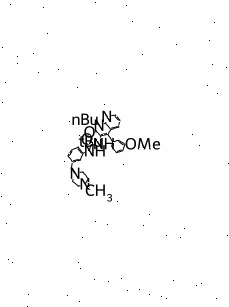 CCCCn1c(=O)c(NC(=O)Nc2cc(CN3CCN(C)CC3)ccc2C(C)(C)C)c(-c2cccc(OC)c2)c2cccnc21